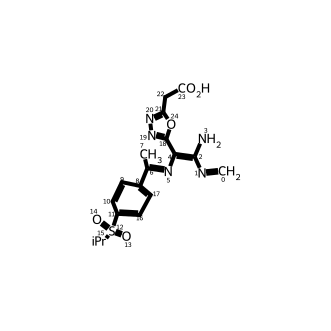 C=N/C(N)=C(\N=C(/C)c1ccc(S(=O)(=O)C(C)C)cc1)c1nnc(CC(=O)O)o1